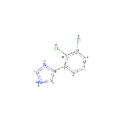 Clc1cccc(-c2c[nH][c]n2)c1Cl